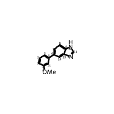 COc1cccc(-c2ccc3[nH]cnc3c2)c1